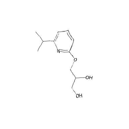 CC(C)c1cccc(OCC(O)CO)n1